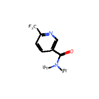 CC(C)N(C(=O)c1ccc(C(F)(F)F)nc1)C(C)C